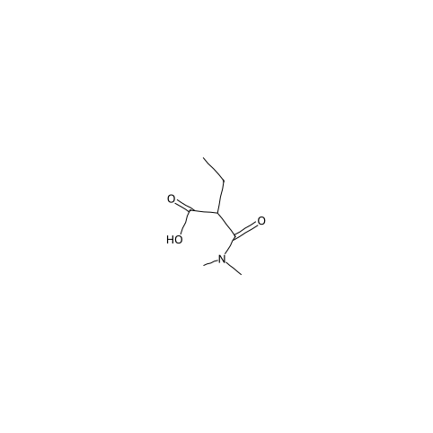 CCC(C(=O)O)C(=O)N(C)C